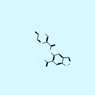 C=C/C=N\C(=C/C)C(=O)Nc1cc2cn[nH]c2cc1C(=O)OC